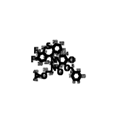 O=C1c2c(OCc3ccccc3)c(=O)ccn2N([C@@H]2c3ccccc3SCc3c2ccc(F)c3F)CN1CCOC1CC1